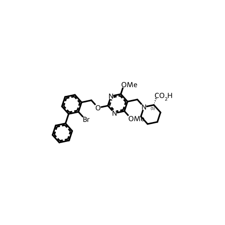 COc1nc(OCc2cccc(-c3ccccc3)c2Br)nc(OC)c1CN1CCCC[C@H]1C(=O)O